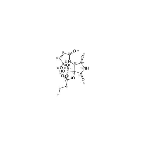 CCCC(=O)OC1(S(=O)(=O)O)C(=O)NC(=O)C1N1C(=O)C=CC1=O